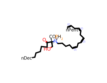 CCCCC/C=C\C/C=C\C/C=C\C/C=C\CCCCN(P)[C@@](CO)(C(=O)O)C(=O)CCCCCCCCCCCCCCC